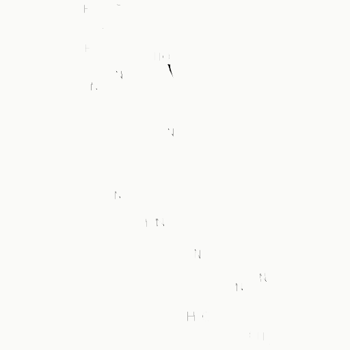 CC(C)n1ncc2ccc(Nc3cc(N4CCC[C@H](O)C4)c(-c4cnn(CC(F)(F)F)c4)cn3)nc21